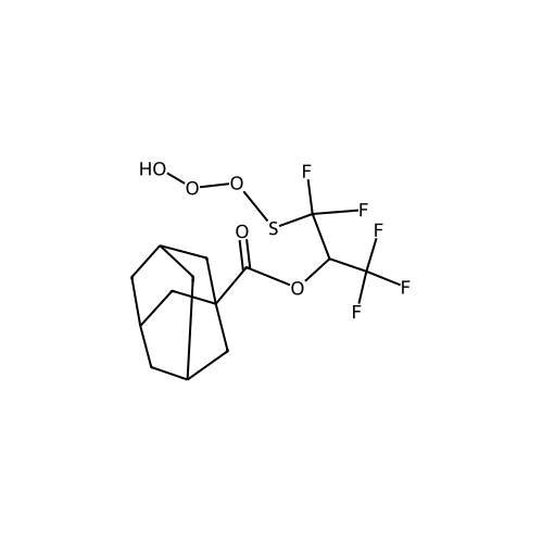 O=C(OC(C(F)(F)F)C(F)(F)SOOO)C12CC3CC(CC(C3)C1)C2